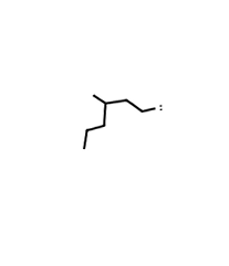 [CH]CCC(C)CCC